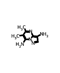 Cc1nc2c(N)cnn2c(N)c1C